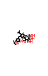 CC1(c2ccc(C3CC3)c(Cc3ccc4c(c3)OCCO4)c2)O[C@H](CO)[C@@H](O)[C@H](O)[C@H]1O